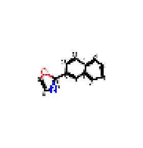 c1ccc2cc(-c3ncco3)ccc2c1